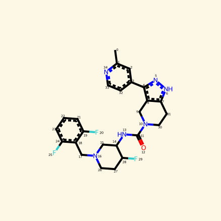 Cc1cc(-c2n[nH]c3c2CN(C(=O)NC2CN(Cc4c(F)cccc4F)CCC2F)CC3)ccn1